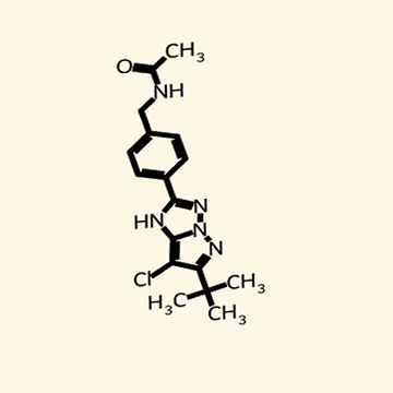 CC(=O)NCc1ccc(-c2nn3nc(C(C)(C)C)c(Cl)c3[nH]2)cc1